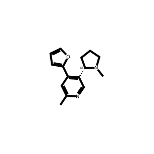 Cc1cc(-c2ccco2)c([C@@H]2CCCN2C)cn1